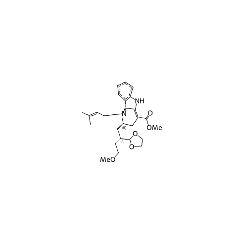 COCC[C@H](C[C@@H]1CC(C(=O)OC)=C2Nc3ccccc3C23CCN(CC=C(C)C)C13)C1OCCO1